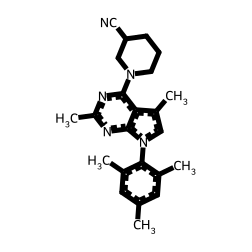 Cc1cc(C)c(-n2cc(C)c3c(N4CCCC(C#N)C4)nc(C)nc32)c(C)c1